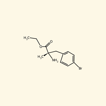 CCOC(=O)[C@@](C)(N)Cc1ccc(Br)cc1